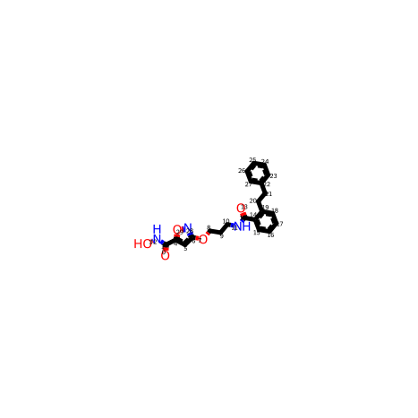 O=C(NO)c1cc(OCCCNC(=O)c2ccccc2CCc2ccccc2)no1